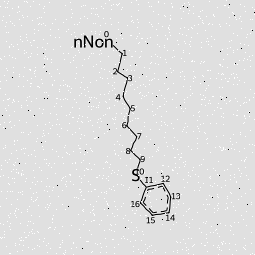 CCCCCCCCCCCCCCCCCCSc1ccccc1